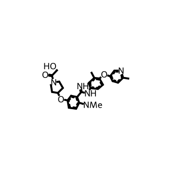 CNc1ccc(OC2CCN(C(=O)CO)CC2)cc1C(=N)Nc1ccc(Oc2ccc(C)nc2)c(C)c1